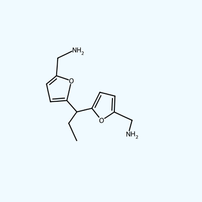 CCC(c1ccc(CN)o1)c1ccc(CN)o1